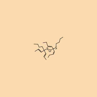 CC=CC(C=CC)(CCCC)SOC(/C=C\CC)(/C=C/CC)SCCCC